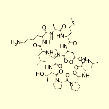 CSCC[C@H](NC(=O)[C@H](C)NC(=O)[C@H](CCCCN)NC(=O)[C@@H](N)CC(C)C)C(=O)N[C@@H](CC(=O)O)C(=O)N1CCC[C@H]1C(=O)N[C@H](C(=O)N1CCC[C@H]1C(=O)N1CCC[C@H]1C(=O)N[C@@H](CC(C)C)C(=O)O)[C@@H](C)O